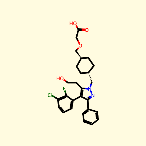 O=C(O)COC[C@H]1CC[C@H](Cn2nc(-c3ccccc3)c(-c3cccc(Cl)c3F)c2CCO)CC1